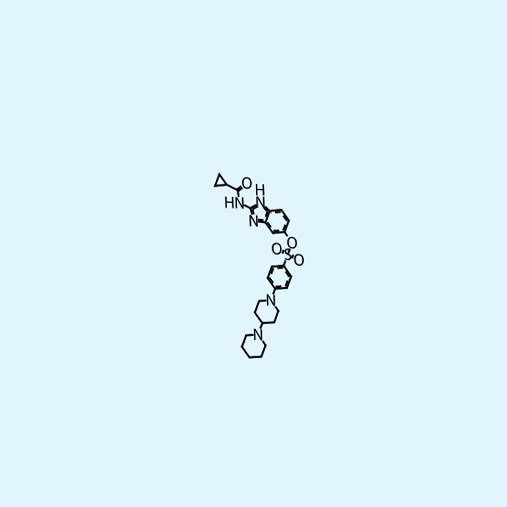 O=C(Nc1nc2cc(OS(=O)(=O)c3ccc(N4CCC(N5CCCCC5)CC4)cc3)ccc2[nH]1)C1CC1